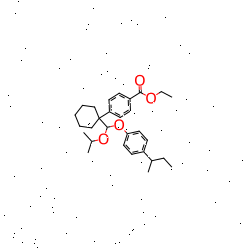 CCOC(=O)c1ccc(C2(C(Oc3ccc(C(C)CC)cc3)OC(C)C)CCCCC2)cc1